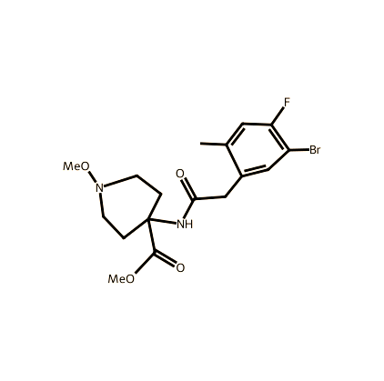 COC(=O)C1(NC(=O)Cc2cc(Br)c(F)cc2C)CCN(OC)CC1